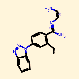 CCc1cc(-n2nnc3ccccc32)ccc1/C(N)=N/C=C\N